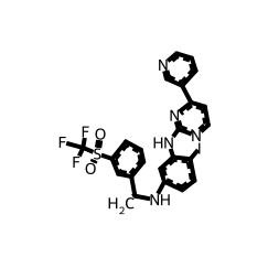 C=C(Nc1ccc(I)c(Nc2nccc(-c3cccnc3)n2)c1)c1cccc(S(=O)(=O)C(F)(F)F)c1